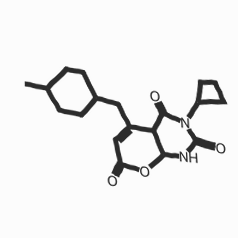 CC1CCC(CC2=CC(=O)OC3NC(=O)N(C4CCC4)C(=O)C23)CC1